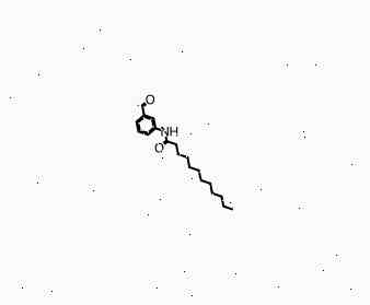 CCCCCCCCCCCC(=O)Nc1cccc([C]=O)c1